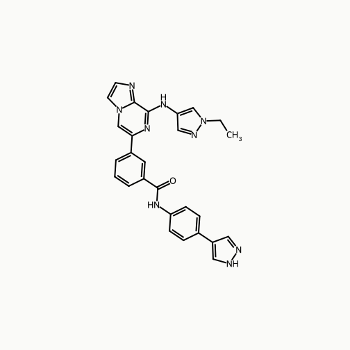 CCn1cc(Nc2nc(-c3cccc(C(=O)Nc4ccc(-c5cn[nH]c5)cc4)c3)cn3ccnc23)cn1